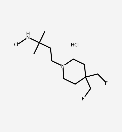 CC(C)(CCN1CCC(CF)(CF)CC1)NCl.Cl